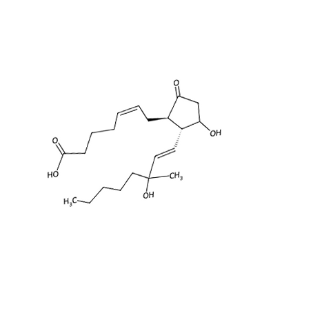 CCCCCC(C)(O)/C=C/[C@H]1C(O)CC(=O)[C@@H]1C/C=C\CCCC(=O)O